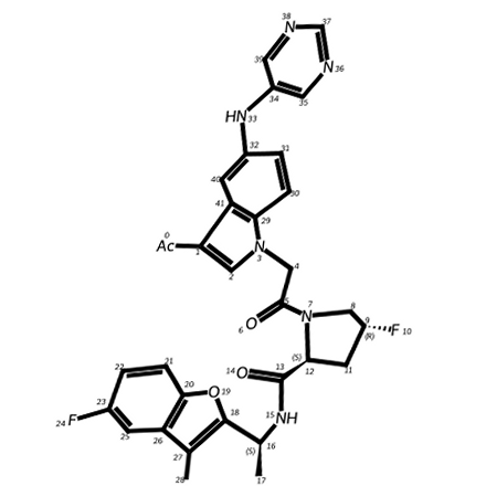 CC(=O)c1cn(CC(=O)N2C[C@H](F)C[C@H]2C(=O)N[C@@H](C)c2oc3ccc(F)cc3c2C)c2ccc(Nc3cncnc3)cc12